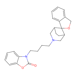 O=c1oc2ccccc2n1CCCCN1CC2CCC(C1)C21OCc2ccccc21